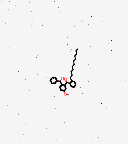 CCCCCCCCCCCCc1ccccc1C(=O)c1cc(OC)ccc1C(=O)c1ccccc1